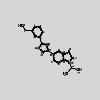 OCc1cccc(-c2nc(-c3ccc4c(c3)nnn4C(O)O)no2)c1